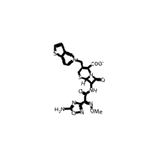 CON=C(C(=O)NC1C(=O)N2C(C(=O)[O-])=C(C[n+]3ccc4sccc4c3)CS[C@@H]12)c1noc(N)n1